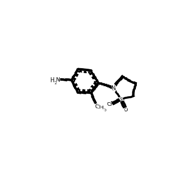 Cc1cc(N)ccc1N1CCCS1(=O)=O